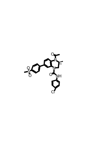 CC(=O)N1c2ccc(-c3ccc(S(C)(=O)=O)cc3)cc2N(C(=O)Nc2ccc(Cl)cc2)C[C@@H]1C